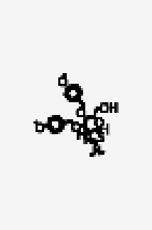 COc1ccc(COC2C(OCc3ccc(OC)cc3)[C@@H](CO)O[C@@H]3SC(N(C)C)=N[C@H]23)cc1